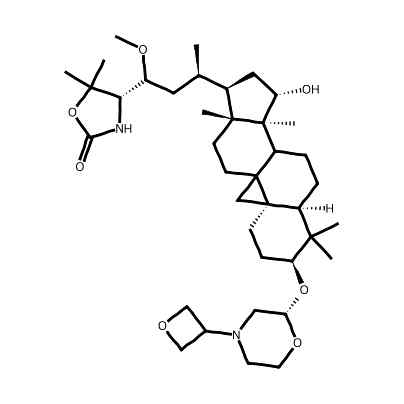 COC(C[C@@H](C)[C@H]1C[C@H](O)[C@@]2(C)C3CC[C@H]4C(C)(C)[C@@H](O[C@H]5CN(C6COC6)CCO5)CC[C@@]45CC35CC[C@]12C)[C@@H]1NC(=O)OC1(C)C